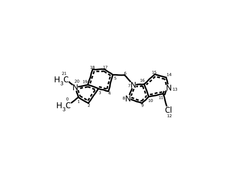 Cc1cc2cc(Cn3ncc4c(Cl)nccc43)ccc2n1C